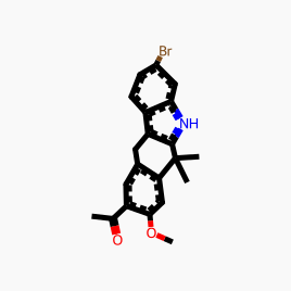 COc1cc2c(cc1C(C)=O)Cc1c([nH]c3cc(Br)ccc13)C2(C)C